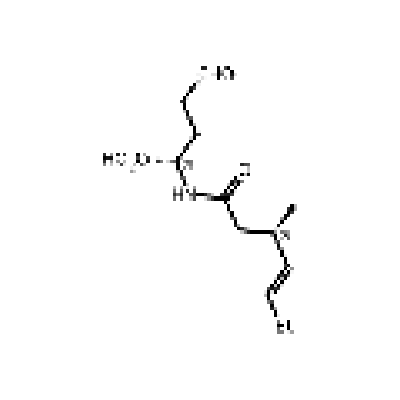 CCC=C[C@H](C)CC(=O)N[C@@H](CC[C]=O)C(=O)O